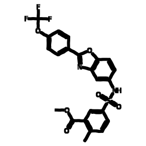 COC(=O)c1cc(S(=O)(=O)Nc2ccc3oc(-c4ccc(OC(F)(F)F)cc4)nc3c2)ccc1C